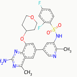 Cc1ncc(-c2cc(OC3CCOCC3)c3nc(N)nc(C)c3c2)cc1NS(=O)(=O)c1ccc(F)cc1F